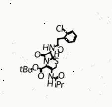 CC(C)C(=O)NC1=C(C(=O)OC(C)(C)C)N2C(=O)C(NC(=O)Cc3ccccc3Cl)[C@@H]2SC1